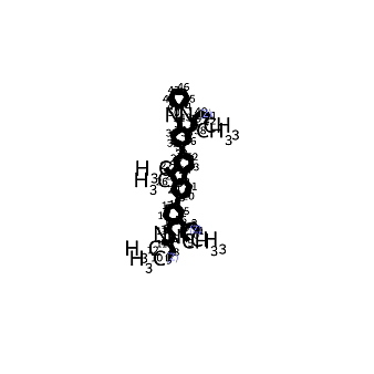 C/C=C\c1c(C)n2c(/C=C\C)c(C)nc2c2ccc(-c3ccc4c(c3)C(C)(C)c3cc(-c5ccc6c(c5)c(C)c(/C=C\C)n5c7ccccc7nc65)ccc3-4)cc12